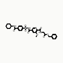 COc1cc(C(=O)NS(=O)(=O)c2ccc(C(=O)NC3CCCCC3)cc2)cnc1C(=O)NCC(=O)OCc1ccccc1